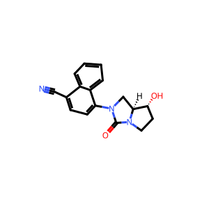 N#Cc1ccc(N2C[C@H]3[C@H](O)CCN3C2=O)c2ccccc12